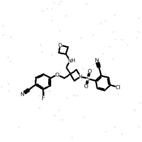 N#Cc1ccc(OCC2(CNC3COC3)CN(S(=O)(=O)c3ccc(Cl)cc3C#N)C2)cc1F